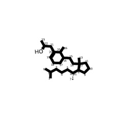 CC(C)CCC[C@@H](C)C1CCCC1(C)CCC1CCC=C(CC(C)O)C1C